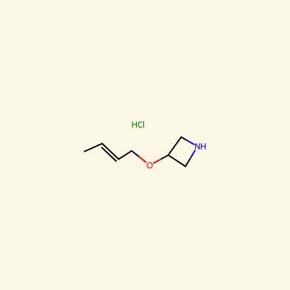 C/C=C/COC1CNC1.Cl